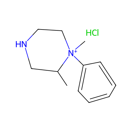 CC1CNCC[N+]1(C)c1ccccc1.Cl